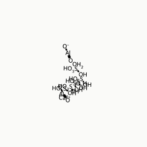 O.O=S(=O)(O)O.O=S(=O)(O)O.O=S(=O)(O)O.O=S(=O)(O)O.O=S(=O)(O)O.O=S(=O)(O)O.[Ca+2].[O]=[Al][O-].[O]=[Al][O-]